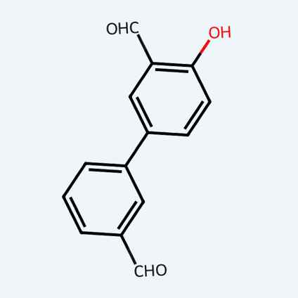 O=Cc1cccc(-c2ccc(O)c(C=O)c2)c1